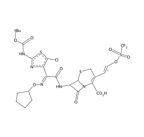 CC(C)(C)OC(=O)Nc1nc(C(=NOC2CCCC2)C(=O)NC2C(=O)N3C(C(=O)O)=C(/C=C/OS(=O)(=O)C(F)(F)F)CSC23)c(Cl)s1